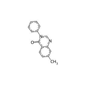 Cc1ccc2c(=O)n(-c3ccccc3)cnc2c1